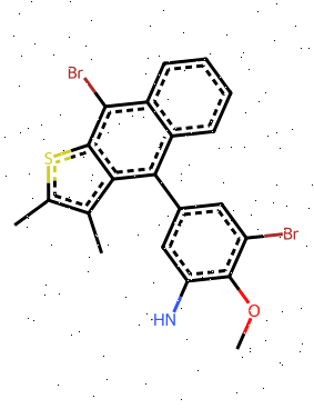 COc1c([NH])cc(-c2c3ccccc3c(Br)c3sc(C)c(C)c23)cc1Br